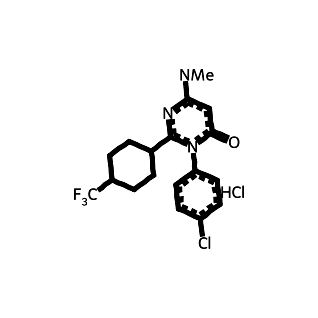 CNc1cc(=O)n(-c2ccc(Cl)cc2)c(C2CCC(C(F)(F)F)CC2)n1.Cl